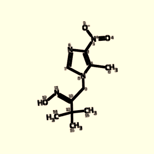 Cc1c([N+](=O)[O-])ncn1CC(=NO)C(C)(C)C